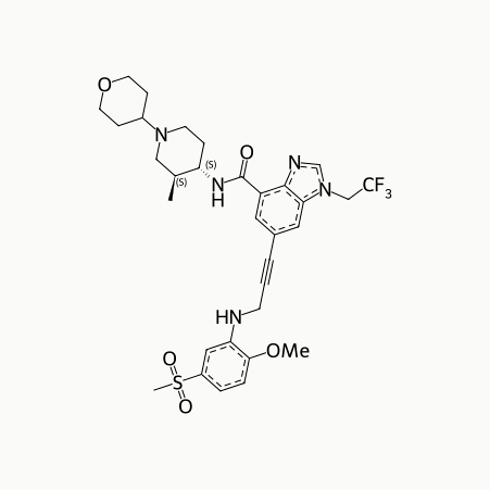 COc1ccc(S(C)(=O)=O)cc1NCC#Cc1cc(C(=O)N[C@H]2CCN(C3CCOCC3)C[C@@H]2C)c2ncn(CC(F)(F)F)c2c1